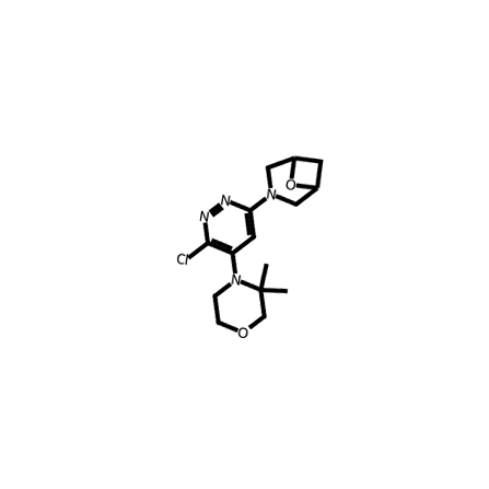 CC1(C)COCCN1c1cc(N2CC3CC(C2)O3)nnc1Cl